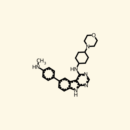 CNc1ccc(-c2ccc3[nH]c4ncnc(NC5CCC(N6CCOCC6)CC5)c4c3c2)cc1